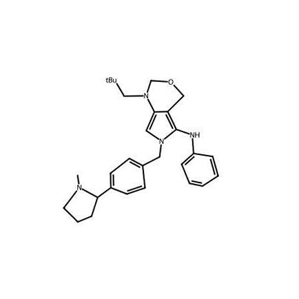 CN1CCCC1c1ccc(Cn2cc3c(c2Nc2ccccc2)COCN3CC(C)(C)C)cc1